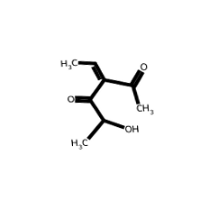 CC=C(C(C)=O)C(=O)C(C)O